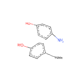 CNc1ccc(O)cc1.Nc1ccc(O)cc1